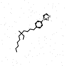 CCCCCCC(C)(CC)CCCCc1ccc(-n2ccnn2)cc1